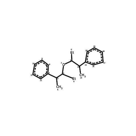 CCC(OC(CC)C(C)c1ccccc1)C(C)c1ccccc1